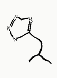 CC(C)CC1=NN=N[N]1